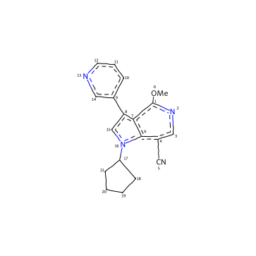 COc1ncc(C#N)c2c1c(-c1cccnc1)cn2C1CCCC1